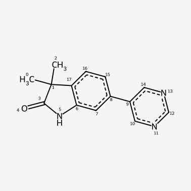 CC1(C)C(=O)Nc2cc(-c3cncnc3)ccc21